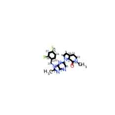 Cc1nc2ncc(-n3ccc4ccn(C)c(=O)c43)nc2n1Cc1ccc(F)cc1F